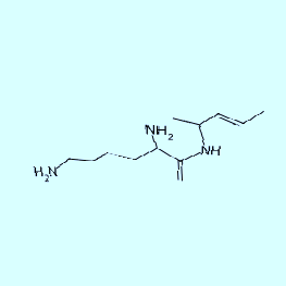 C=C(NC(C)/C=C/C)C(N)CCCCN